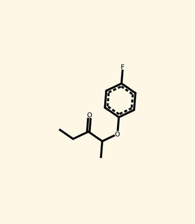 CCC(=O)C(C)Oc1ccc(F)cc1